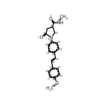 CNC(=O)C1CC(=O)N(c2ccc(C=Cc3ccc(OC)cc3)cc2)C1